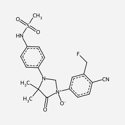 CC1(C)C(=O)[N+]([O-])(c2ccc(C#N)c(CF)c2)CN1c1ccc(NS(C)(=O)=O)cc1